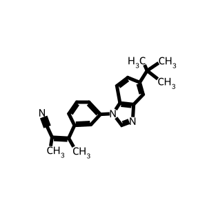 C/C(C#N)=C(\C)c1cccc(-n2cnc3cc(C(C)(C)C)ccc32)c1